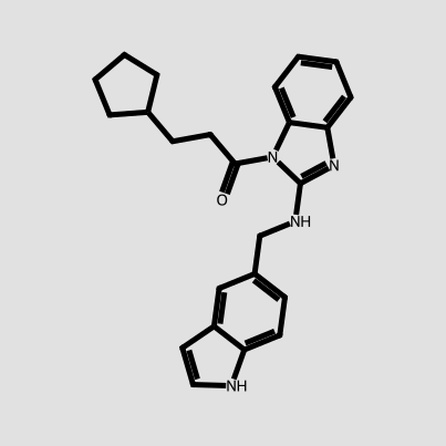 O=C(CCC1CCCC1)n1c(NCc2ccc3[nH]ccc3c2)nc2ccccc21